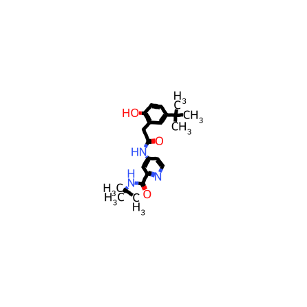 CC(C)(C)NC(=O)c1cc(NC(=O)Cc2cc(C(C)(C)C)ccc2O)ccn1